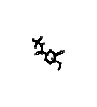 CC[C@@H]1CCN(C(=O)OC(C)(C)C)CC1=O